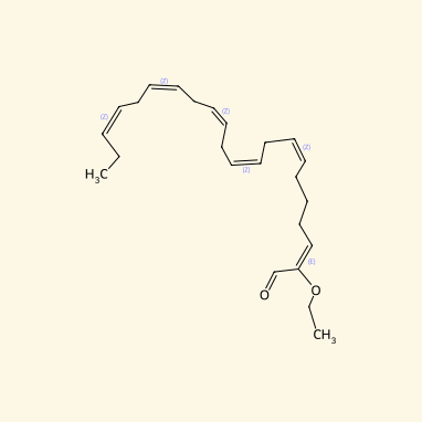 CC/C=C\C/C=C\C/C=C\C/C=C\C/C=C\CCC/C=C(\C=O)OCC